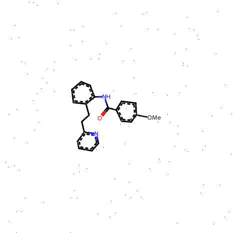 COc1ccc(C(=O)Nc2ccccc2CCc2ccccn2)cc1